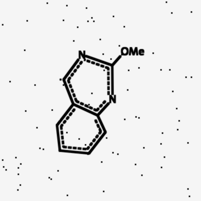 COc1n[c]c2ccccc2n1